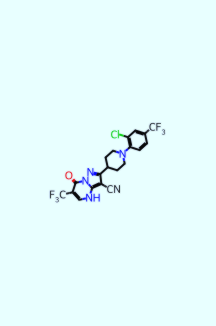 N#Cc1c(C2CCN(c3ccc(C(F)(F)F)cc3Cl)CC2)nn2c(=O)c(C(F)(F)F)c[nH]c12